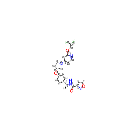 C[C@H](NC(=O)c1ccon1)c1ccc(OC2CCN(c3ccnc(OCC(F)F)c3)C2)cc1